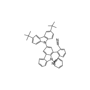 CC(C)(C)c1ccc2c(c1)c1cc(C(C)(C)C)ccc1n2-c1cc(-c2c(C#N)cccc2C#N)c2c(c1)c1ccccc1n2-c1ccccc1